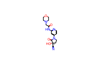 N#C[C@@]1(O)CCN(c2ccnc(NC(=O)CN3CCOCC3)c2)C1=O